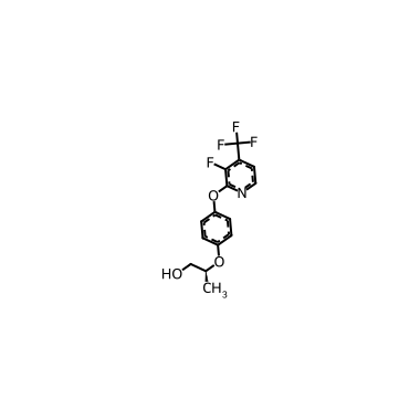 C[C@@H](CO)Oc1ccc(Oc2nccc(C(F)(F)F)c2F)cc1